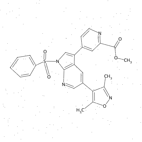 COC(=O)c1cc(-c2cn(S(=O)(=O)c3ccccc3)c3ncc(-c4c(C)noc4C)cc23)ccn1